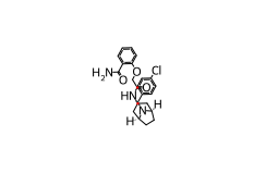 NC(=O)c1ccccc1OCC(=O)N[C@H]1C[C@H]2CC[C@@H](C1)N2Cc1ccc(Cl)cc1